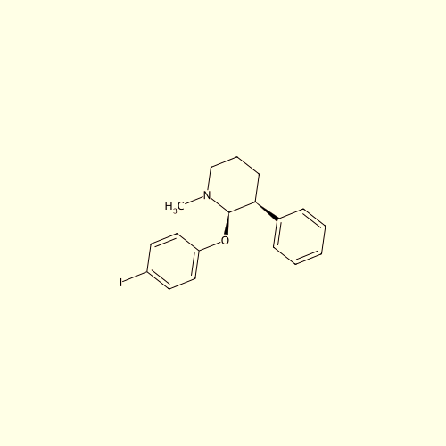 CN1CCC[C@@H](c2ccccc2)[C@H]1Oc1ccc(I)cc1